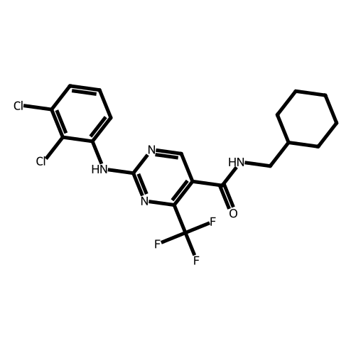 O=C(NCC1CCCCC1)c1cnc(Nc2cccc(Cl)c2Cl)nc1C(F)(F)F